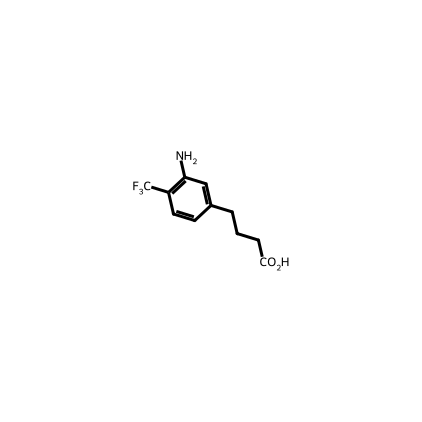 Nc1cc(CCCC(=O)O)ccc1C(F)(F)F